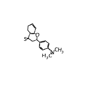 CN(C)c1ccc(C2CC(=S)C3=C(C=CCC3)O2)cc1